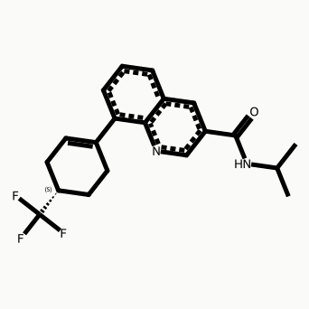 CC(C)NC(=O)c1cnc2c(C3=CC[C@@H](C(F)(F)F)CC3)cccc2c1